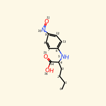 CCCCC(Nc1ccc(N=O)cc1)C(=O)O